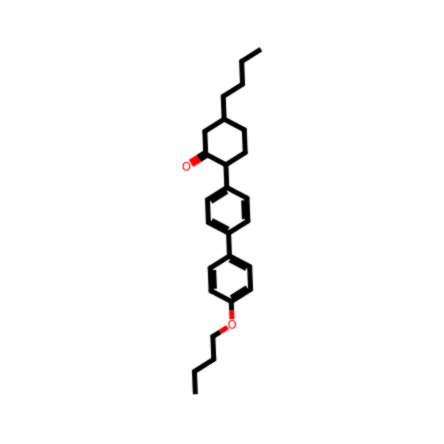 CCCCOc1ccc(-c2ccc(C3CCC(CCCC)CC3=O)cc2)cc1